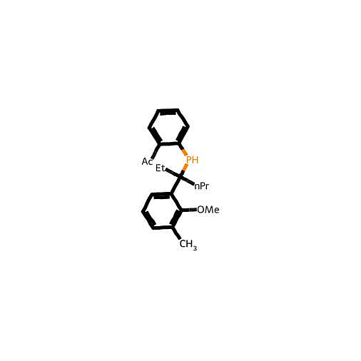 CCCC(CC)(Pc1ccccc1C(C)=O)c1cccc(C)c1OC